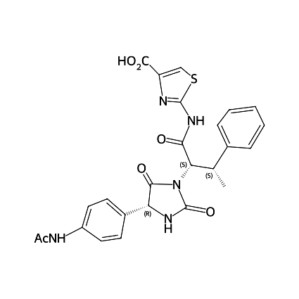 CC(=O)Nc1ccc([C@H]2NC(=O)N([C@H](C(=O)Nc3nc(C(=O)O)cs3)[C@@H](C)c3ccccc3)C2=O)cc1